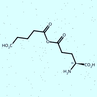 N[C@@H](CCC(=O)OC(=O)CCCC(=O)O)C(=O)O